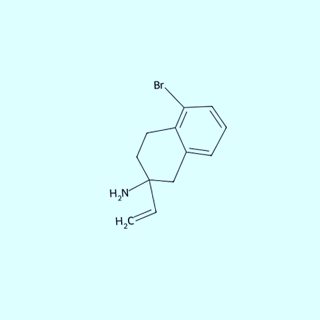 C=CC1(N)CCc2c(Br)cccc2C1